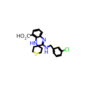 O=C(O)c1cccc2c1NC1(CCSCC1)C(NCc1cccc(Cl)c1)=N2